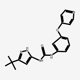 CC(C)(C)c1cc(NC(=O)Nc2cccc(Oc3ccncc3)c2)[nH]n1